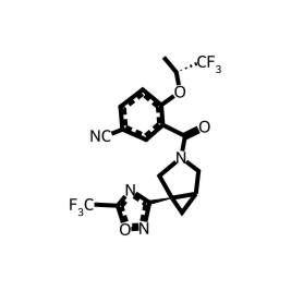 C[C@@H](Oc1ccc(C#N)cc1C(=O)N1CC2C[C@]2(c2noc(C(F)(F)F)n2)C1)C(F)(F)F